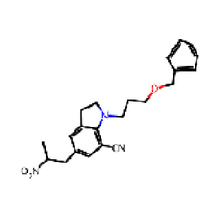 CC(Cc1cc(C#N)c2c(c1)CCN2CCCOCc1ccccc1)[N+](=O)[O-]